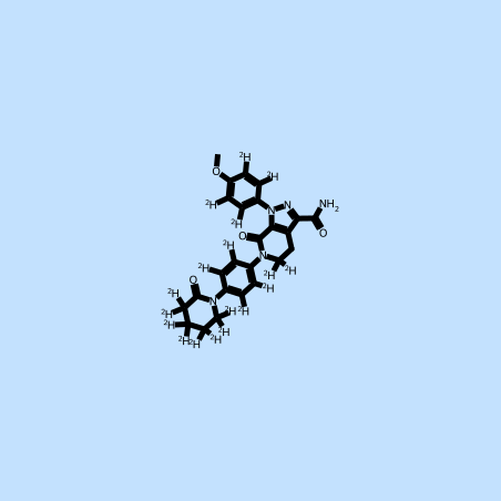 [2H]c1c([2H])c(-n2nc(C(N)=O)c3c2C(=O)N(c2c([2H])c([2H])c(N4C(=O)C([2H])([2H])C([2H])([2H])C([2H])([2H])C4([2H])[2H])c([2H])c2[2H])C([2H])([2H])C3)c([2H])c([2H])c1OC